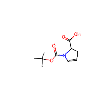 CC(C)(C)OC(=O)N1C=CCC1C(=O)O